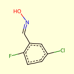 ON=Cc1cc(Cl)ccc1F